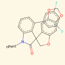 CCCCCN1C(=O)C2(COc3cc4c(cc32)OCO4)c2c(-c3cc(F)cc(F)c3)cccc21